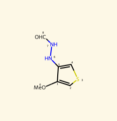 COc1cscc1NNC=O